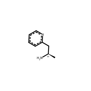 C[C@@H](N)Cc1ccccn1